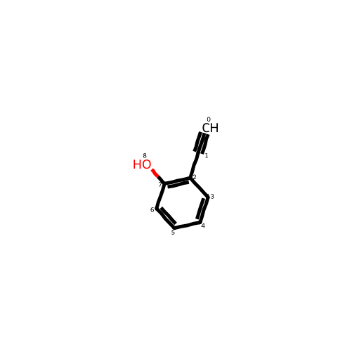 C#Cc1[c]cccc1O